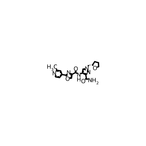 Cc1cc(-c2nc(C(=O)Nc3cn(C[C@@H]4CCCO4)nc3C(N)=O)co2)ccn1